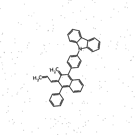 C=C/C=c1/c(-c2ccccc2)c2ccccc2c(-c2ccc(-n3c4ccccc4c4ccccc43)cc2)c1=C